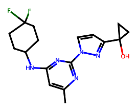 Cc1cc(NC2CCC(F)(F)CC2)nc(-n2ccc(C3(O)CC3)n2)n1